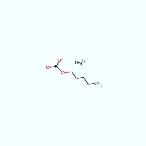 [Mg+2].[O-]B([O-])OCCCCC(F)(F)F